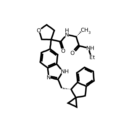 CCNC(=O)[C@@H](C)NC(=O)C1(c2ccc3nc(C[C@@H]4c5ccccc5CC45CC5)[nH]c3c2)CCOC1